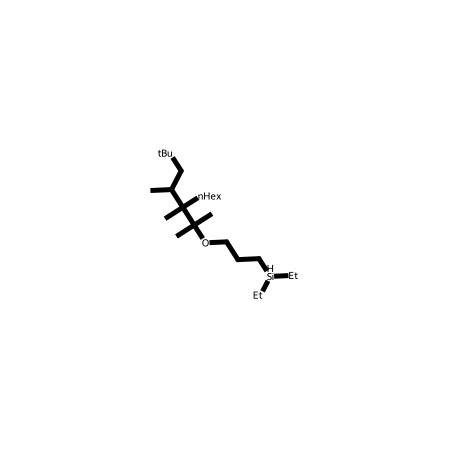 CCCCCCC(C)(C(C)CC(C)(C)C)C(C)(C)OCCC[SiH](CC)CC